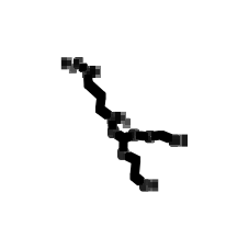 CNCCC[SiH2]OC(OCCO)OCCO